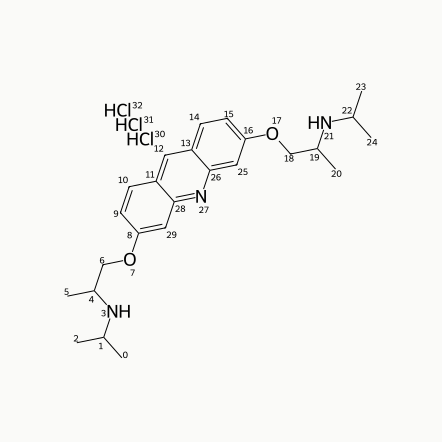 CC(C)NC(C)COc1ccc2cc3ccc(OCC(C)NC(C)C)cc3nc2c1.Cl.Cl.Cl